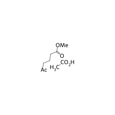 CC(=O)O.COC(=O)CCCC(C)=O